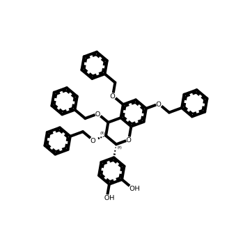 Oc1ccc([C@H]2Oc3cc(OCc4ccccc4)cc(OCc4ccccc4)c3C(OCc3ccccc3)[C@H]2OCc2ccccc2)cc1O